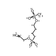 C#CCOS(=O)(=O)CCCCOS(=O)(=O)C(F)(F)F